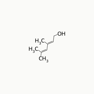 CC(C)=C/C(C)=C/CO